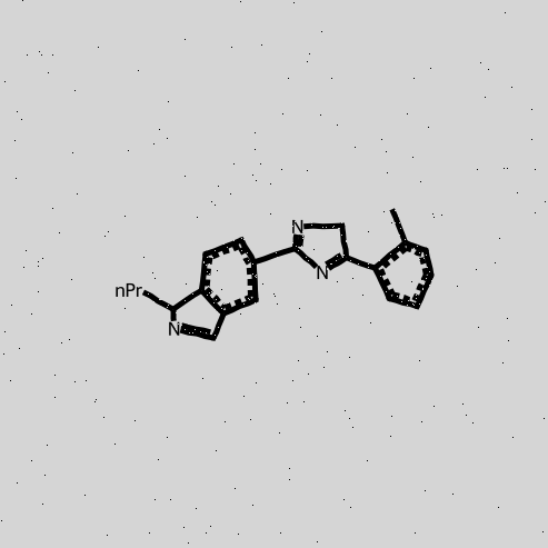 CCCC1N=Cc2cc(C3=NCC(c4ccccc4C)=N3)ccc21